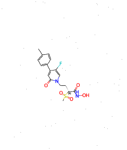 Cc1ccc(-c2cc(=O)n(CC[C@H](C(=O)NO)S(C)(=O)=O)cc2F)cc1